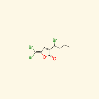 CCCC(Br)C1=CC(=C(Br)Br)OC1=O